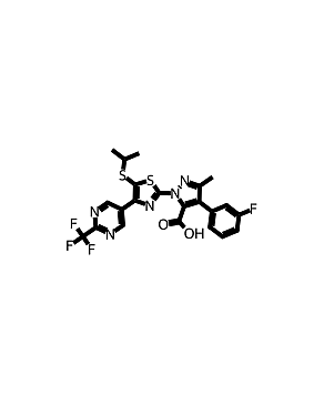 Cc1nn(-c2nc(-c3cnc(C(F)(F)F)nc3)c(SC(C)C)s2)c(C(=O)O)c1-c1cccc(F)c1